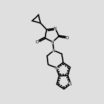 O=C1N=C(C2CC2)C(=O)N1N1CCn2c(cc3sccc32)C1